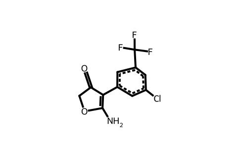 NC1=C(c2cc(Cl)cc(C(F)(F)F)c2)C(=O)CO1